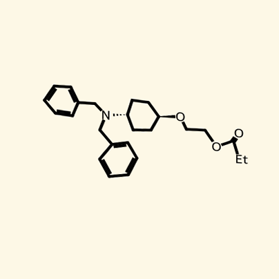 CCC(=O)OCCO[C@H]1CC[C@H](N(Cc2ccccc2)Cc2ccccc2)CC1